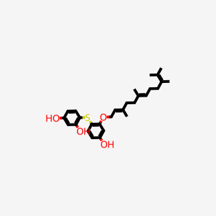 CC(C)=C(C)CC/C=C(\C)CC/C(C)=C/COc1cc(O)ccc1Sc1ccc(O)cc1O